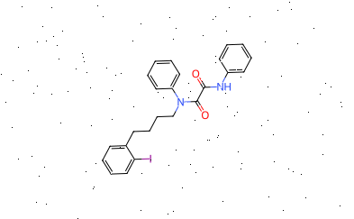 O=C(Nc1ccccc1)C(=O)N(CCCCc1ccccc1I)c1ccccc1